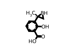 C[C@@]1(c2cccc(C(=O)O)c2O)BC1